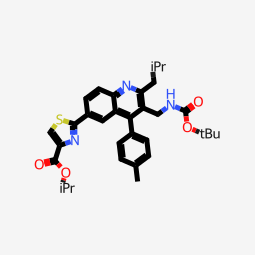 Cc1ccc(-c2c(CNC(=O)OC(C)(C)C)c(CC(C)C)nc3ccc(-c4nc(C(=O)OC(C)C)cs4)cc23)cc1